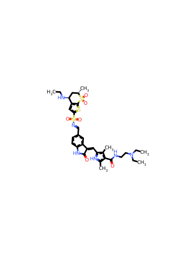 CCN[C@H]1C[C@H](C)S(=O)(=O)c2sc(S(=O)(=O)/N=C/c3ccc4c(c3)/C(=C/c3[nH]c(C)c(C(=O)NCCN(CC)CC)c3C)C(=O)N4)cc21